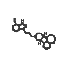 Fc1cccc2c(CCCN3CC[C@H]4[C@@H](C3)c3cccc5c3N4CCCS5)n[nH]c12